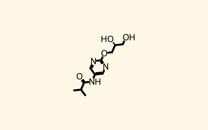 CC(C)C(=O)Nc1cnc(OC[C@@H](O)CO)nc1